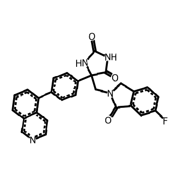 O=C1NC(=O)C(CN2Cc3ccc(F)cc3C2=O)(c2ccc(-c3cccc4cnccc34)cc2)N1